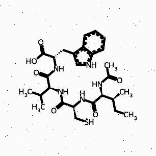 CC[C@H](C)[C@H](NC(C)=O)C(=O)N[C@@H](CS)C(=O)N[C@H](C(=O)N[C@@H](Cc1c[nH]c2ccccc12)C(=O)O)C(C)C